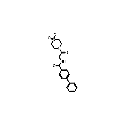 O=C(NCC(=O)N1CCS(=O)(=O)CC1)c1ccc(-c2ccccc2)cc1